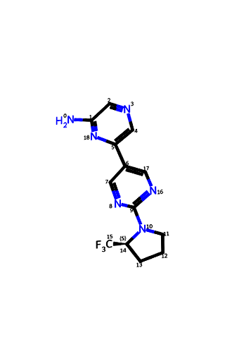 Nc1cncc(-c2cnc(N3CCC[C@H]3C(F)(F)F)nc2)n1